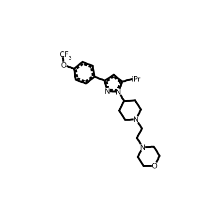 CC(C)c1cc(-c2ccc(OC(F)(F)F)cc2)nn1C1CCN(CCN2CCOCC2)CC1